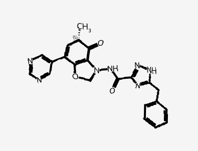 C[C@H]1C=C(c2cncnc2)C2=C(C1=O)N(NC(=O)c1n[nH]c(Cc3ccccc3)n1)CO2